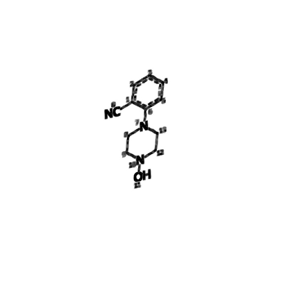 N#Cc1ccccc1N1CCN(O)CC1